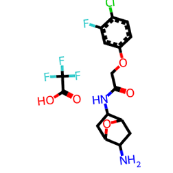 NC1CC2OC1CC2NC(=O)COc1ccc(Cl)c(F)c1.O=C(O)C(F)(F)F